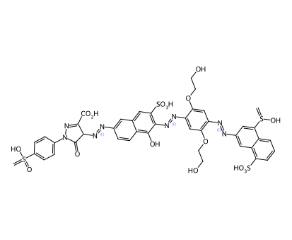 C=S(O)c1cc(/N=N/c2cc(OCCO)c(/N=N/c3c(S(=O)(=O)O)cc4cc(/N=N/C5C(=O)N(c6ccc(S(=C)(=O)O)cc6)N=C5C(=O)O)ccc4c3O)cc2OCCO)cc2c(S(=O)(=O)O)cccc12